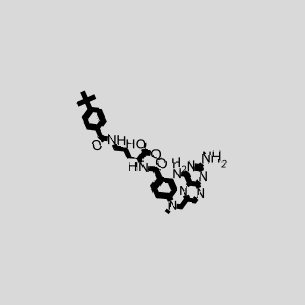 CN(Cc1cnc2nc(N)nc(N)c2n1)c1ccc(C(=O)N[C@@H](CCCNC(=O)c2ccc(C(C)(C)C)cc2)C(=O)O)cc1